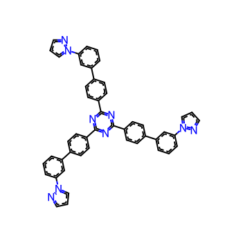 c1cc(-c2ccc(-c3nc(-c4ccc(-c5cccc(-n6cccn6)c5)cc4)nc(-c4ccc(-c5cccc(-n6cccn6)c5)cc4)n3)cc2)cc(-n2cccn2)c1